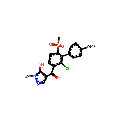 COc1ccc(-c2c(S(C)(=O)=O)ccc(C(=O)c3cnn(C(C)(C)C)c3O)c2Cl)cc1